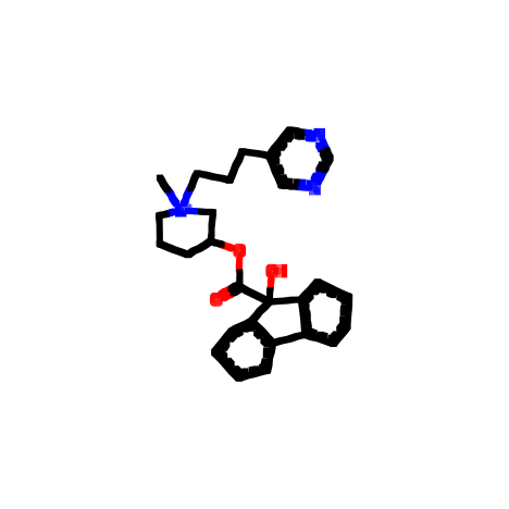 C[N+]1(CCCc2cncnc2)CCCC(OC(=O)C2(O)c3ccccc3-c3ccccc32)C1